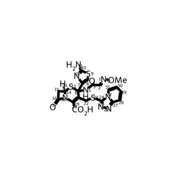 CON=CC(=O)NC1(c2csc(N)n2)S[C@H]2CC(=O)N2C(C(=O)O)=C1CSc1nnc2ccccn12